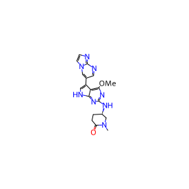 COc1nc(N[C@@H]2CCC(=O)N(C)C2)nc2[nH]cc(-c3cnc4nccn4c3)c12